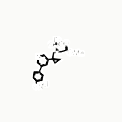 CCS(=O)(=O)N(CC(=O)OC)CC1(c2cncc(-c3ccc(C#N)c(Cl)c3)c2)CC1